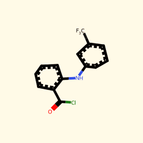 O=C(Cl)c1ccccc1Nc1cccc(C(F)(F)F)c1